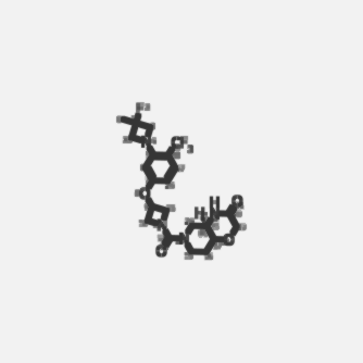 CC1(F)CN(c2cc(OC3CN(C(=O)N4CCC5OCC(=O)N[C@@H]5C4)C3)ccc2C(F)(F)F)C1